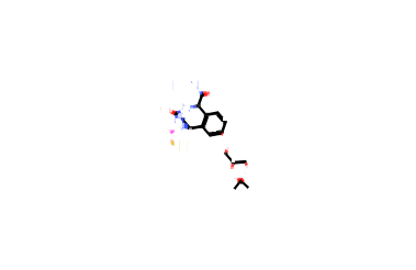 CC1(C)OCC(COc2ccc3c(c2)C2CN(C(=O)N2OS)C3C(N)=O)O1